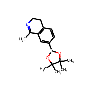 CC1=NCCc2ccc(B3OC(C)(C)C(C)(C)O3)cc21